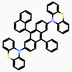 c1ccc(-c2c3cc(N4c5ccccc5Sc5ccccc54)ccc3c(-c3cccc4ccccc34)c3cc(N4c5ccccc5Sc5ccccc54)ccc23)cc1